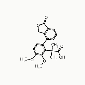 COc1ccc(-c2cccc3c2COC3=O)c(C(C)(C)C(=O)O)c1OC